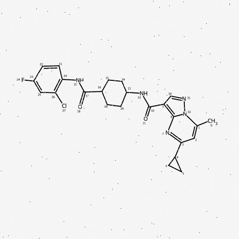 Cc1cc(C2CC2)nc2c(C(=O)NC3CCC(C(=O)Nc4ccc(F)cc4Cl)CC3)cnn12